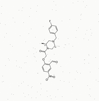 C[C@@H]1CN(C(=O)COc2ccc([N+](=O)[O-])cc2C=O)[C@@H](C)CN1Cc1ccc(F)cc1